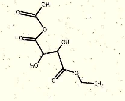 CCOC(=O)C(O)C(O)C(=O)OC(=O)O